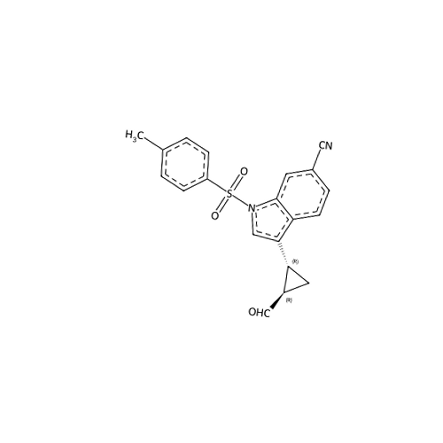 Cc1ccc(S(=O)(=O)n2cc([C@@H]3C[C@H]3C=O)c3ccc(C#N)cc32)cc1